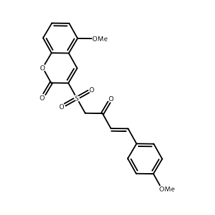 COc1ccc(C=CC(=O)CS(=O)(=O)c2cc3c(OC)cccc3oc2=O)cc1